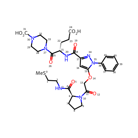 CSCCNC(=O)[C@@H]1CCCN1C(=O)COc1cc(C(=O)N[C@@H](CCC(=O)O)C(=O)N2CCN(C(=O)O)CC2)nn1-c1ccccc1